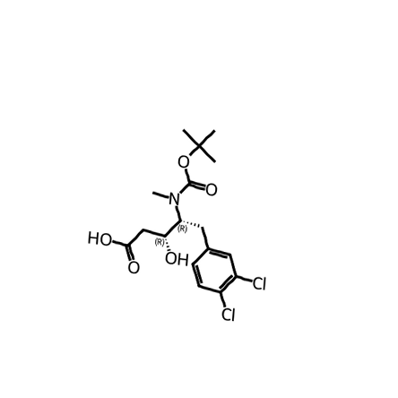 CN(C(=O)OC(C)(C)C)[C@H](Cc1ccc(Cl)c(Cl)c1)[C@H](O)CC(=O)O